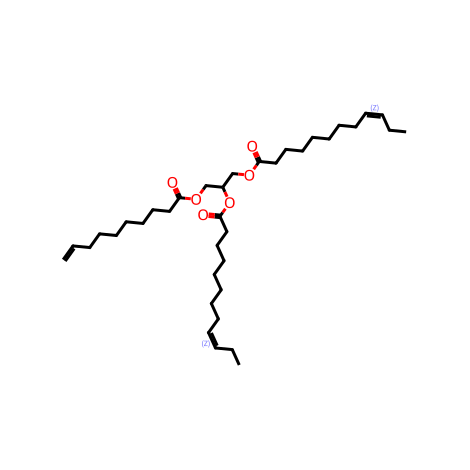 C=CCCCCCCCC(=O)OCC(COC(=O)CCCCCCC/C=C\CC)OC(=O)CCCCCCC/C=C\CC